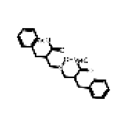 COC(=O)C(Cc1ccccc1)CN(O)CC(Cc1ccccc1)C(=O)OC